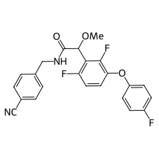 COC(C(=O)NCc1ccc(C#N)cc1)c1c(F)ccc(Oc2ccc(F)cc2)c1F